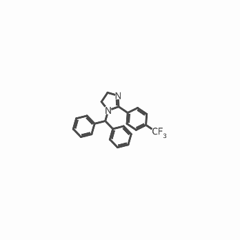 FC(F)(F)c1ccc(C2=NCCN2C(c2ccccc2)c2ccccc2)cc1